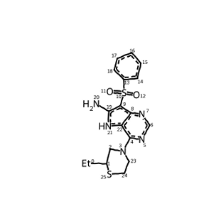 CCC1CN(c2ncnc3c(S(=O)(=O)c4ccccc4)c(N)[nH]c23)CCS1